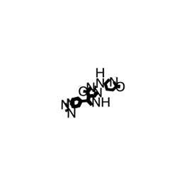 COc1nc(N[C@H]2CCC(=O)N(C)C2)nc2[nH]cc(-c3ccn4ncnc4c3)c12